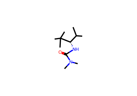 CC(C)[C@H](NC(=O)N(C)C)C(C)(C)C